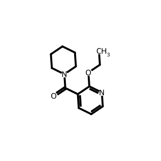 CCOc1ncccc1C(=O)N1CCCCC1